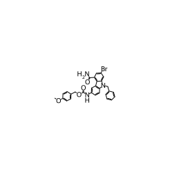 COc1ccc(COC(=O)Nc2ccc3c(c2)c2c(C(N)=O)cc(Br)cc2n3Cc2ccccc2)cc1